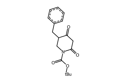 CC(C)(C)OC(=O)N1CC(Cc2ccccc2)C(=O)CC1=O